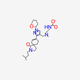 COC(=O)NCCN(C)Cc1cn(C2CCCCO2)nc1C1=CCC2(CC1)CCN(CCC(C)C)C2=O